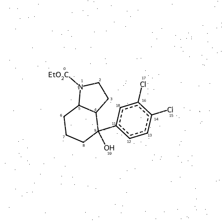 CCOC(=O)N1CCC2C1CCCC2(O)c1ccc(Cl)c(Cl)c1